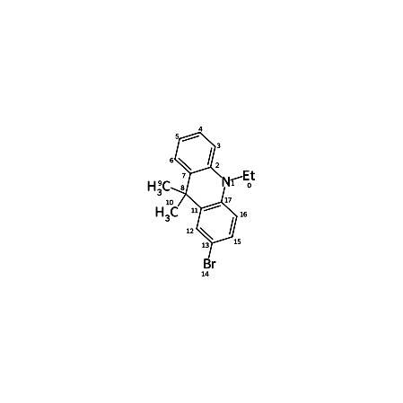 CCN1c2ccccc2C(C)(C)c2cc(Br)ccc21